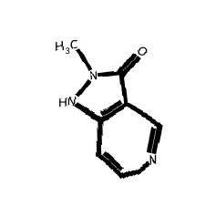 Cn1[nH]c2ccncc2c1=O